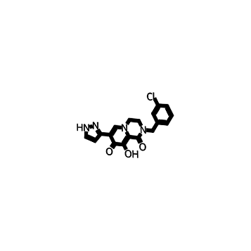 O=C1c2c(O)c(=O)c(-c3cc[nH]n3)cn2CCN1Cc1cccc(Cl)c1